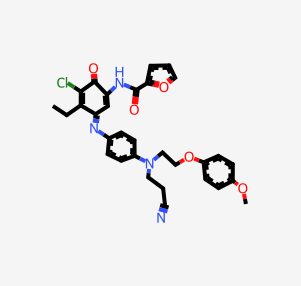 CCC1=C(Cl)C(=O)C(NC(=O)c2ccco2)=CC1=Nc1ccc(N(CCC#N)CCOc2ccc(OC)cc2)cc1